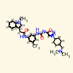 CN(C)CC1CCC([n+]2cc([N-]C(=O)Nc3cc(NC(=O)Cc4cn(C)c5ccccc45)cc(C(F)(F)F)c3)on2)CC1